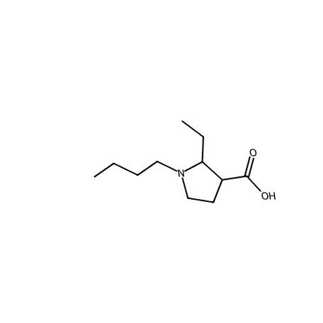 CCCCN1CCC(C(=O)O)C1CC